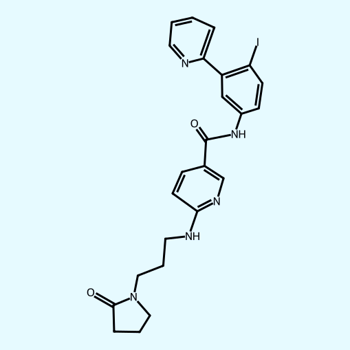 O=C(Nc1ccc(I)c(-c2ccccn2)c1)c1ccc(NCCCN2CCCC2=O)nc1